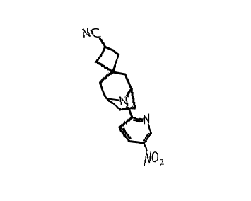 N#CC1CC2(C1)CC1CCC(C2)N1c1ccc([N+](=O)[O-])cn1